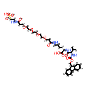 CC(C)[C@H](NC(=O)OCC1c2ccccc2-c2ccccc21)C(=O)N[C@@H](CCCCNC(=O)CCOCCOCCOCCOCCC(=O)NCCS(=O)(=O)O)C(=O)O